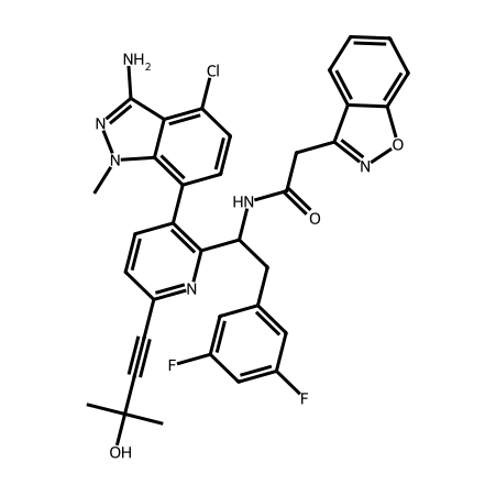 Cn1nc(N)c2c(Cl)ccc(-c3ccc(C#CC(C)(C)O)nc3C(Cc3cc(F)cc(F)c3)NC(=O)Cc3noc4ccccc34)c21